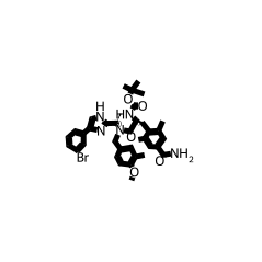 COc1ccc(CN(C(=O)[C@H](Cc2c(C)cc(C(N)=O)cc2C)NC(=O)OC(C)(C)C)[C@@H](C)c2nc(-c3cccc(Br)c3)c[nH]2)cc1C